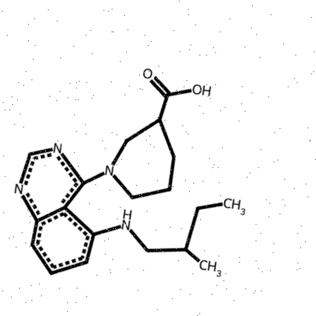 CCC(C)CNc1cccc2ncnc(N3CCCC(C(=O)O)C3)c12